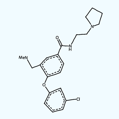 CNCc1cc(C(=O)NCCN2CCCC2)ccc1Oc1cccc(Cl)c1